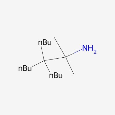 CCCCC(CCCC)(CCCC)C(C)(C)N